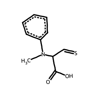 CN(c1ccccc1)C(C=S)C(=O)O